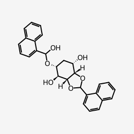 OC(O[C@@H]1C[C@H](O)[C@@H]2OC(c3cccc4ccccc34)O[C@@H]2[C@H]1O)c1cccc2ccccc12